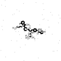 COCCCn1c(C2CCCN(C(=O)CC(Cc3ccc(N(C)C(=O)c4cc[nH]n4)cc3)NC(=O)OC(C)(C)C)C2)c(C)c2cccc(F)c21